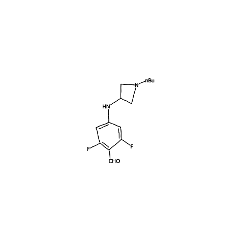 CCCCN1CC(Nc2cc(F)c(C=O)c(F)c2)C1